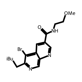 CCC(C)Cc1ncc2ncc(C(=O)NCCOC)cc2c1Br